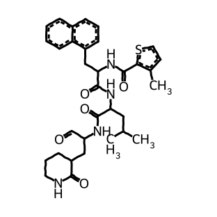 Cc1ccsc1C(=O)NC(Cc1cccc2ccccc12)C(=O)NC(CC(C)C)C(=O)NC(C=O)CC1CCCNC1=O